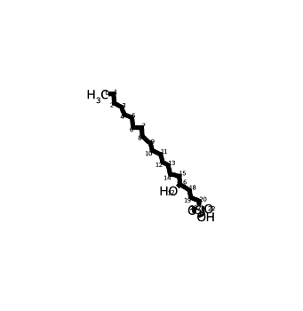 CCCCCCCCCCCCCCCCC(O)CCCS(=O)(=O)O